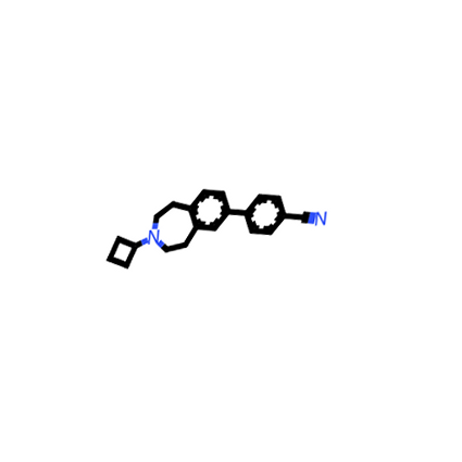 N#Cc1ccc(-c2ccc3c(c2)CCN(C2CCC2)CC3)cc1